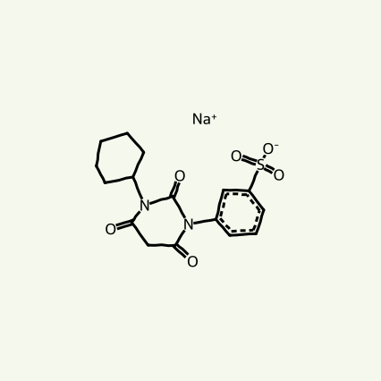 O=C1CC(=O)N(C2CCCCC2)C(=O)N1c1cccc(S(=O)(=O)[O-])c1.[Na+]